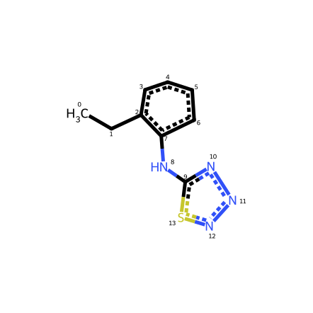 CCc1ccccc1Nc1nnns1